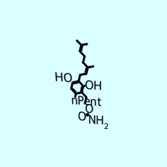 CCCCCc1cc(O)c(CC=C(C)CCC=C(C)C)c(O)c1CCOC(N)=O